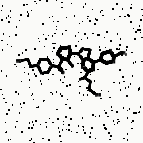 Cc1c(C(=O)N2CCN(CCO)CC2)cccc1N1CCc2c(-c3cnc(N)nc3)nc(N(C)CCO)nc21